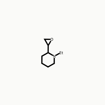 CCN1CCCCC1C1CO1